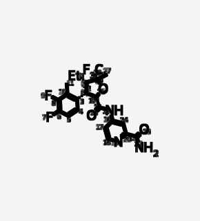 CC[C@H]1[C@@H](c2ccc(F)c(F)c2C)[C@H](C(=O)Nc2ccnc(C(N)=O)c2)O[C@@]1(C)C(F)(F)F